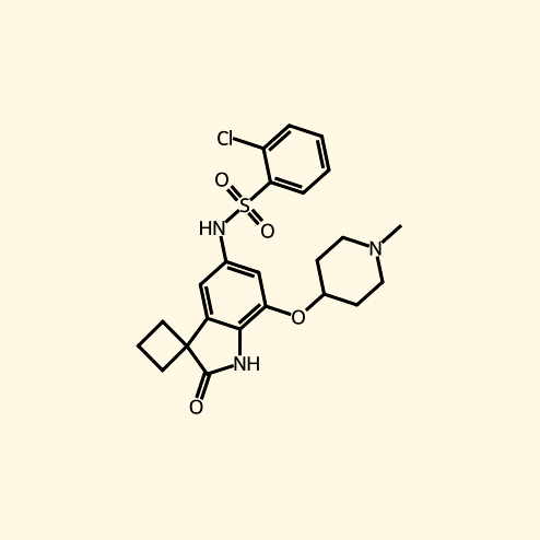 CN1CCC(Oc2cc(NS(=O)(=O)c3ccccc3Cl)cc3c2NC(=O)C32CCC2)CC1